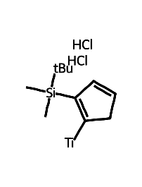 CC(C)(C)[Si](C)(C)C1=[C]([Ti])CC=C1.Cl.Cl